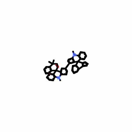 CN1c2ccccc2C2(c3ccccc3-c3ccccc32)c2cc(-c3ccc4c(c3)C3(c5ccccc5N4C)c4ccccc4C(C)(C)c4ccccc43)ccc21